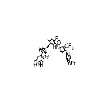 C=CCC(Nc1cn[nH]c1)c1ncc(C#Cc2cc(C(=O)Nc3ccc(CN4CCN(CCC)CC4)c(C(F)(F)F)c3)c(F)cc2C)n1C